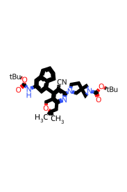 CC(C)(C)OC(=O)Nc1cc(-c2c(C#N)c(N3CCC4(CN(C(=O)OC(C)(C)C)C4)C3)nc3c2COC(C)(C)C3)c2ccccc2c1